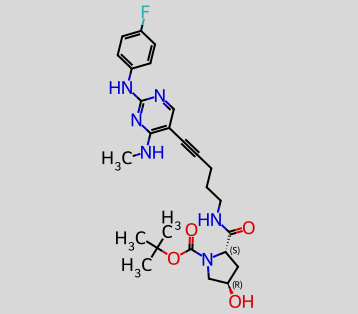 CNc1nc(Nc2ccc(F)cc2)ncc1C#CCCCNC(=O)[C@@H]1C[C@@H](O)CN1C(=O)OC(C)(C)C